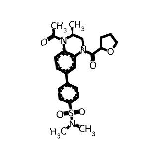 CC(=O)N1c2ccc(-c3ccc(S(=O)(=O)N(C)C)cc3)cc2N(C(=O)C2CCCO2)C[C@@H]1C